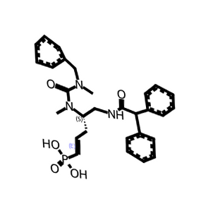 CN(Cc1ccccc1)C(=O)N(C)[C@@H](C/C=C/P(=O)(O)O)CNC(=O)C(c1ccccc1)c1ccccc1